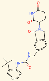 CC(C)(C)c1ccccc1NC(=O)NCc1ccc2c(c1)C(=O)N(C1CCC(=O)NC1=O)C2